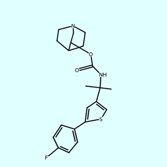 CC(C)(NC(=O)OC1CN2CCC1CC2)c1csc(-c2ccc(F)cc2)c1